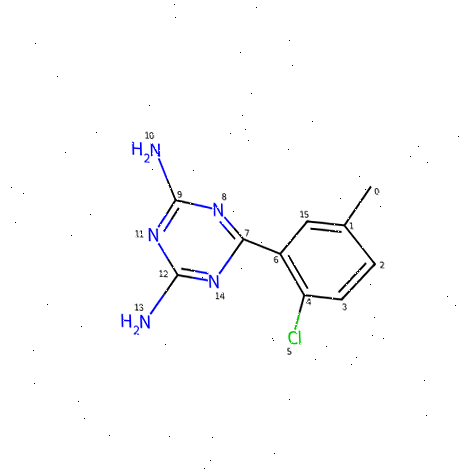 Cc1ccc(Cl)c(-c2nc(N)nc(N)n2)c1